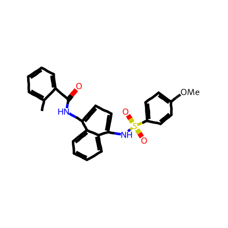 COc1ccc(S(=O)(=O)Nc2ccc(NC(=O)c3ccccc3C)c3ccccc23)cc1